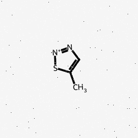 CC1=CN=[N+]S1